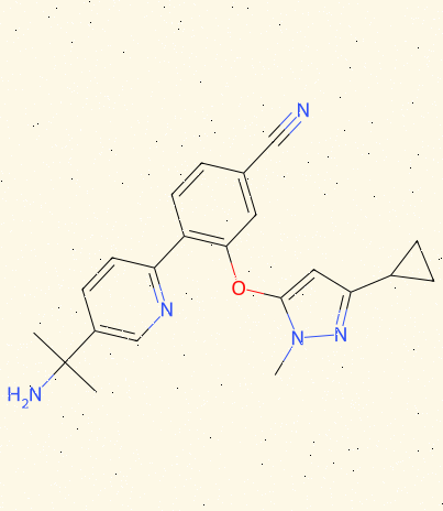 Cn1nc(C2CC2)cc1Oc1cc(C#N)ccc1-c1ccc(C(C)(C)N)cn1